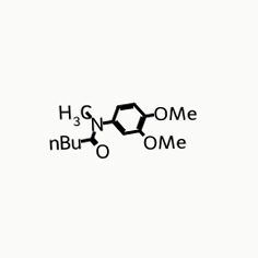 CCCCC(=O)N(C)c1ccc(OC)c(OC)c1